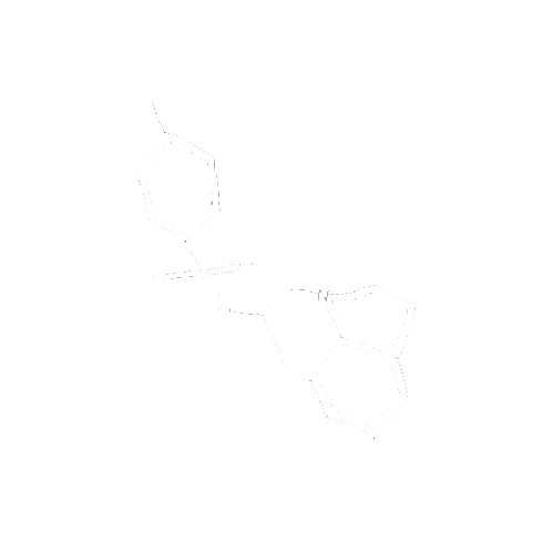 Cc1ccc(S(=O)(=O)OC2Cc3cccc4ccn(c34)C2)cc1